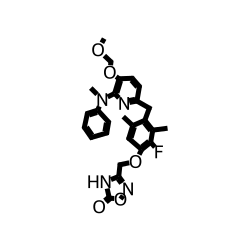 COCOc1ccc(Cc2c(C)cc(OCc3noc(=O)[nH]3)c(F)c2C)nc1N(C)c1ccccc1